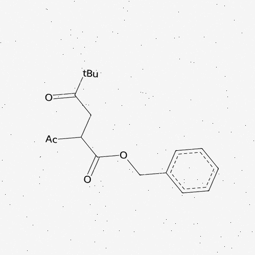 CC(=O)C(CC(=O)C(C)(C)C)C(=O)OCc1ccccc1